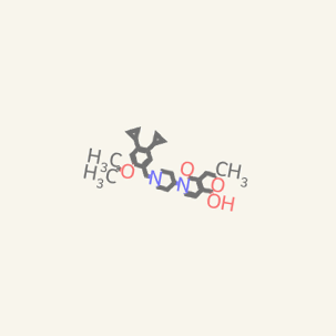 CCCc1c(C(=O)O)ccn(C2CCN(Cc3cc(C4CC4)c(C4CC4)cc3OC(C)C)CC2)c1=O